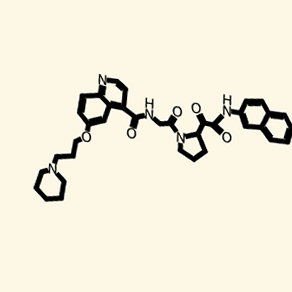 O=C(Nc1ccc2ccccc2c1)C(=O)C1CCCN1C(=O)CNC(=O)c1ccnc2ccc(OCCCN3CCCCC3)cc12